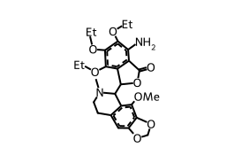 CCOc1c(N)c2c(c(OCC)c1OCC)C(C1c3c(cc4c(c3OC)OCO4)CCN1C)OC2=O